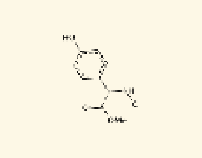 COC(=O)C(NCl)c1ccc(O)cc1